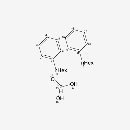 CCCCCCc1ccccc1.CCCCCCc1ccccc1.O=[PH](O)O